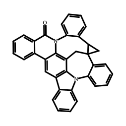 O=c1c2ccccc2c2cc3c4ccccc4n4c3c3c2n1-c1ccccc1C1CC1(C3)c1ccccc1-4